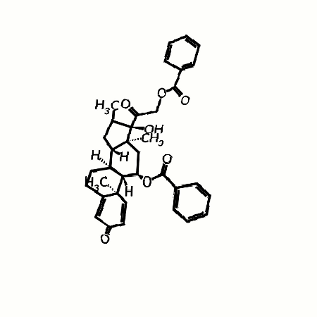 CC1C[C@H]2[C@@H]3CCC4=CC(=O)C=C[C@]4(C)[C@H]3[C@H](OC(=O)c3ccccc3)C[C@]2(C)[C@@]1(O)C(=O)COC(=O)c1ccccc1